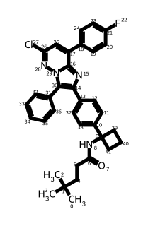 CC(C)(C)CCC(=O)NC1(c2ccc(-c3nc4c(-c5ccc(F)cc5)cc(Cl)nn4c3-c3ccccc3)cc2)CCC1